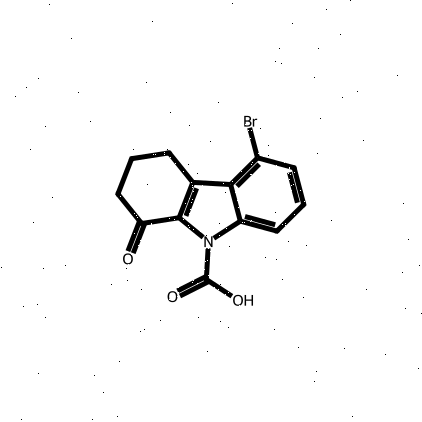 O=C1CCCc2c1n(C(=O)O)c1cccc(Br)c21